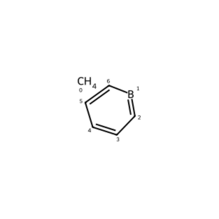 C.b1ccccc1